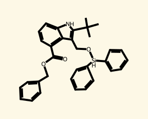 CC(C)(C)c1[nH]c2cccc(C(=O)OCc3ccccc3)c2c1CO[SiH](c1ccccc1)c1ccccc1